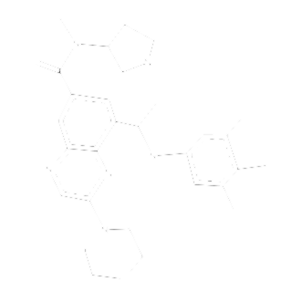 CC(Nc1cc(F)c(F)c(F)c1)c1cc(C(=O)N(C)C2CCNC2)cc2ncc(N3CCOCC3)nc12